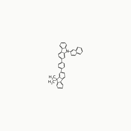 CC1(C)c2ccccc2-c2ccc(-c3ccc(-c4ccc5c6ccccc6n(-c6ccc7ccccc7c6)c5c4)cc3)cc21